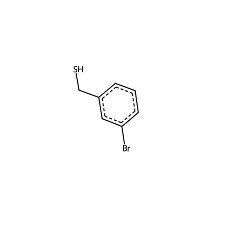 SCc1cccc(Br)c1